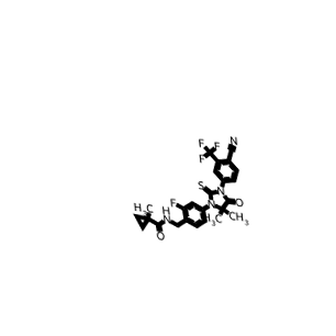 CC1(C(=O)NCc2ccc(N3C(=S)N(c4ccc(C#N)c(C(F)(F)F)c4)C(=O)C3(C)C)cc2F)CC1